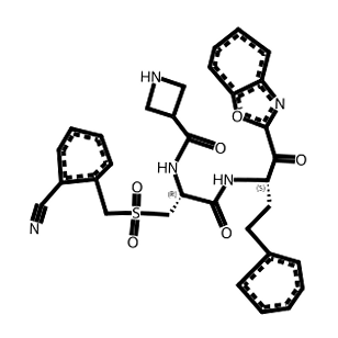 N#Cc1ccccc1CS(=O)(=O)C[C@H](NC(=O)C1CNC1)C(=O)N[C@@H](CCc1ccccc1)C(=O)c1nc2ccccc2o1